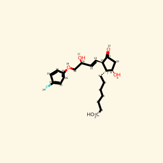 O=C(O)CCCCCC[C@H]1[C@@H](O)CC(=O)[C@@H]1/C=C/[C@H](O)COc1ccc(F)cc1